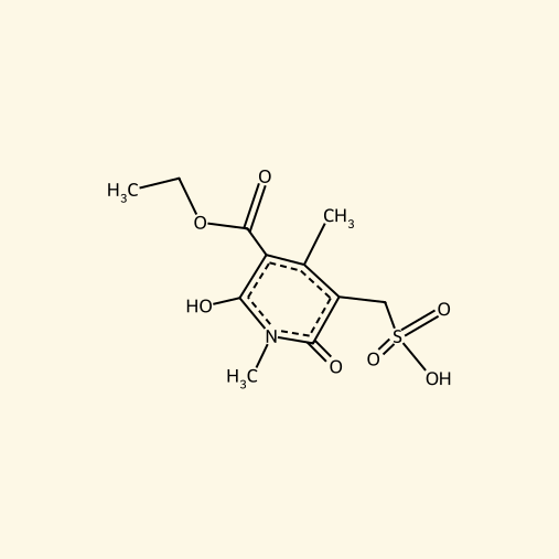 CCOC(=O)c1c(C)c(CS(=O)(=O)O)c(=O)n(C)c1O